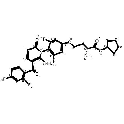 Nc1c(C(=O)c2ccc(F)cc2F)ccc(=O)n1-c1c(F)cc(OCC[C@@H](N)C(=O)OC2CCCC2)cc1F